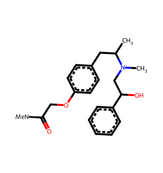 CNC(=O)COc1ccc(CC(C)N(C)CC(O)c2ccccc2)cc1